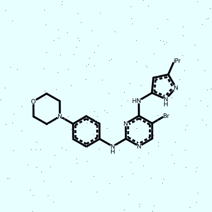 CC(C)c1cc(Nc2nc(Nc3ccc(N4CCOCC4)cc3)ncc2Br)[nH]n1